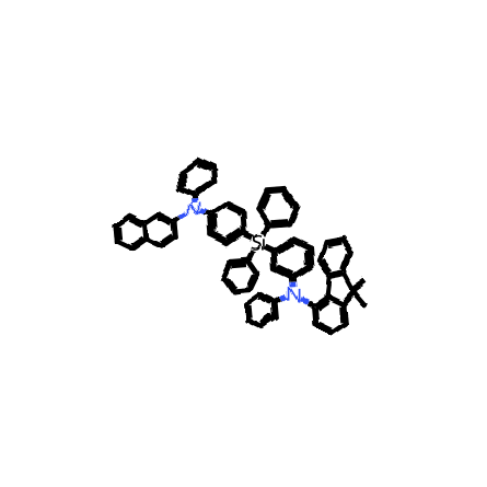 CC1(C)c2ccccc2-c2c(N(c3ccccc3)c3cccc([Si](c4ccccc4)(c4ccccc4)c4ccc(N(c5ccccc5)c5ccc6ccccc6c5)cc4)c3)cccc21